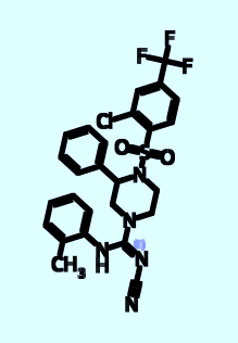 Cc1ccccc1N/C(=N\C#N)N1CCN(S(=O)(=O)c2ccc(C(F)(F)F)cc2Cl)C(c2ccccc2)C1